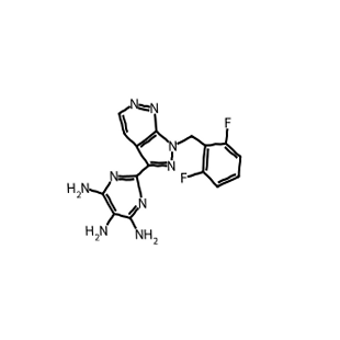 Nc1nc(-c2nn(Cc3c(F)cccc3F)c3nnccc23)nc(N)c1N